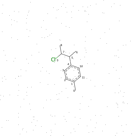 Cc1ccc(C(C)C(C)Cl)cc1